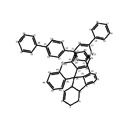 C1=CC2C(CC1)c1cccc(-c3nc(-c4ccccc4)cc(-c4ccc(-c5ccccc5)cc4)n3)c1C21c2ccccc2Sc2ccccc21